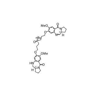 CCCCP(=O)(CCCOc1cc2c(cc1OC)C(=O)N1CCC[C@H]1C=N2)CCCOc1cc2c(cc1OC)C(=O)N1CCC[C@H]1CN2